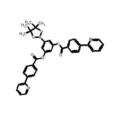 CC1(C)OB(c2cc(OC(=O)c3ccc(-c4ccccn4)cc3)cc(OC(=O)c3ccc(-c4ccccn4)cc3)c2)OC1(C)C